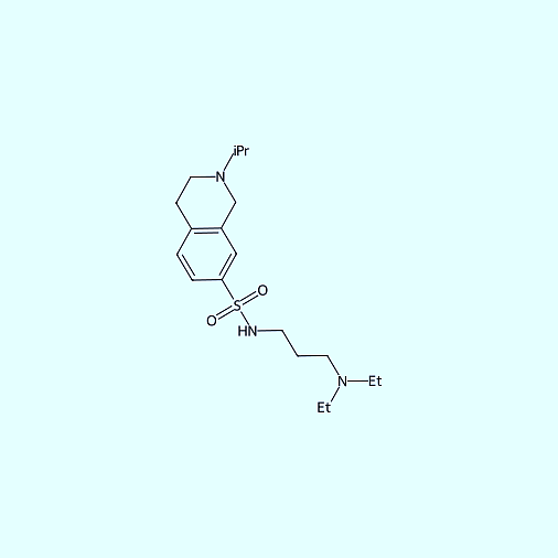 CCN(CC)CCCNS(=O)(=O)c1ccc2c(c1)CN(C(C)C)CC2